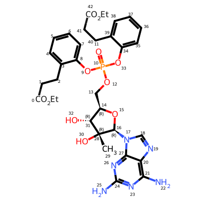 CCOC(=O)CCc1ccccc1OP(=O)(OC[C@H]1O[C@@H](n2cnc3c(N)nc(N)nc32)[C@](C)(O)[C@@H]1O)Oc1ccccc1CCC(=O)OCC